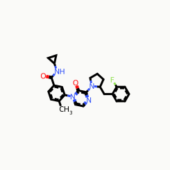 Cc1ccc(C(=O)NC2CC2)cc1-n1ccnc(N2CCCC2Cc2ccccc2F)c1=O